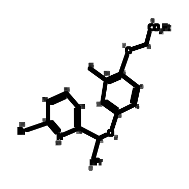 CCCC(Oc1ccc(OCC(=O)OCC)c(C)c1)c1cccc(Br)n1